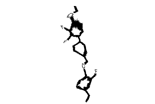 CCOc1ccc(C2CCC(COc3ccc(CC)cc3F)CC2)c(F)c1F